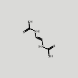 S=C(S)NC=CNC(=S)S